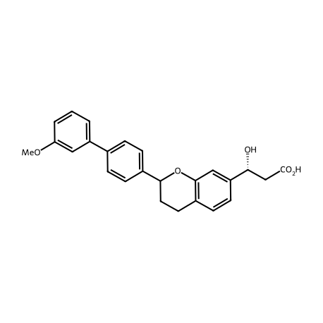 COc1cccc(-c2ccc(C3CCc4ccc([C@H](O)CC(=O)O)cc4O3)cc2)c1